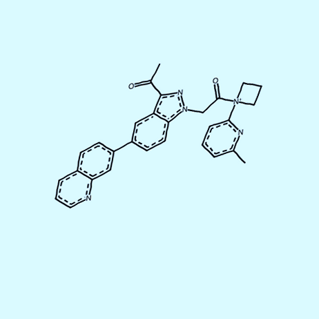 CC(=O)c1nn(CC(=O)[N+]2(c3cccc(C)n3)CCC2)c2ccc(-c3ccc4cccnc4c3)cc12